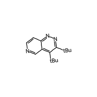 CC(C)(C)c1nnc2ccncc2c1C(C)(C)C